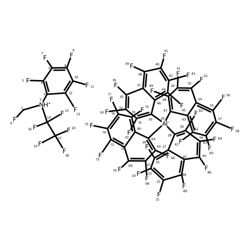 FC[NH+](c1c(F)c(F)c(F)c(F)c1F)C(F)(F)C(F)(F)F.Fc1c(F)c(F)c2[c]([Al-]([c]3c(F)c(F)c(F)c4c(F)c(F)c(F)c(F)c34)([c]3c(F)c(F)c(F)c4c(F)c(F)c(F)c(F)c34)[c]3c(F)c(F)c(F)c4c(F)c(F)c(F)c(F)c34)c(F)c(F)c(F)c2c1F